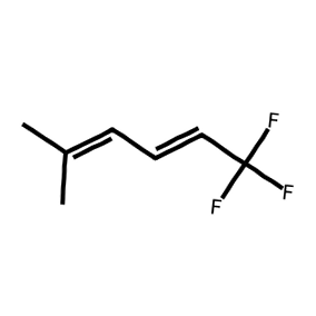 CC(C)=CC=CC(F)(F)F